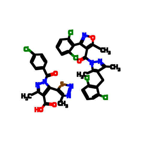 Cc1nn(C(=O)c2c(-c3c(Cl)cccc3Cl)noc2C)c(C)c1Cc1c(Cl)cccc1Cl.Cc1nnsc1-c1c(C(=O)O)c(C)nn1C(=O)c1ccc(Cl)cc1